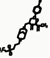 CCS(=O)(=O)CCCN1CC2CC(C1)CN(CC(COc1ccc(C#N)cc1)NC(=O)NC)C2